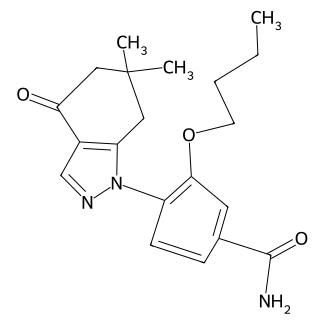 CCCCOc1cc(C(N)=O)ccc1-n1ncc2c1CC(C)(C)CC2=O